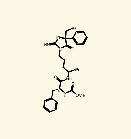 COC(=O)N[C@@H](Cc1ccccc1)C(=O)NC(CCCN1C(=N)NC(CC(C)C)(c2ccccc2)C1=O)C(C)C